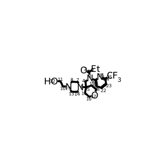 CCC(=O)N(CC1(N2CCN(CCO)CC2)CCOCC1)c1cccc(C(F)(F)F)n1